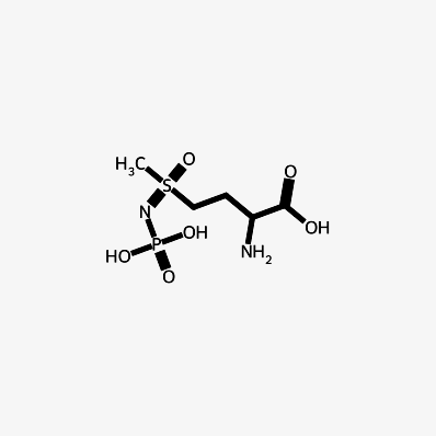 CS(=O)(CCC(N)C(=O)O)=NP(=O)(O)O